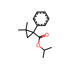 CC(C)OC(=O)C1(c2ccccc2)CC1(C)C